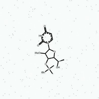 COC1C(O[Si](C)(C)C(C)(C)C)C([C@@H](C)O)OC1n1ccc(=O)[nH]c1=O